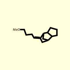 COCCCC=C1CC2CC1C1CCCC21